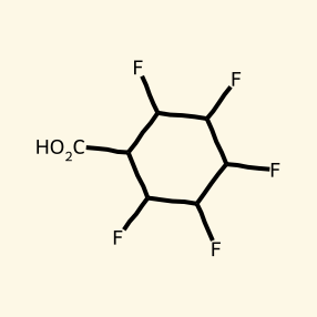 O=C(O)C1C(F)C(F)C(F)C(F)C1F